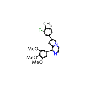 COc1cc(-c2nccn3cc(-c4ccc(C)c(F)c4)cc23)cc(OC)c1OC